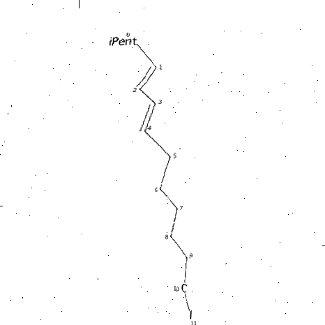 CCCC(C)C=CC=CCCCCCCI